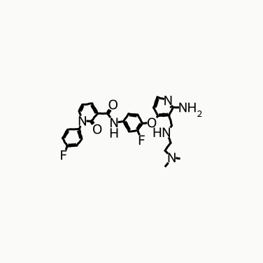 CN(C)CCNCc1c(Oc2ccc(NC(=O)c3cccn(-c4ccc(F)cc4)c3=O)cc2F)ccnc1N